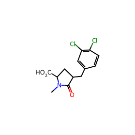 CN1C(=O)C(Cc2ccc(Cl)c(Cl)c2)CC1C(=O)O